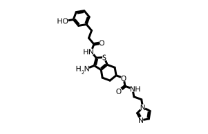 Nc1c(NC(=O)CCc2cccc(O)c2)sc2c1CCC(OC(=O)NCCn1ccnc1)C2